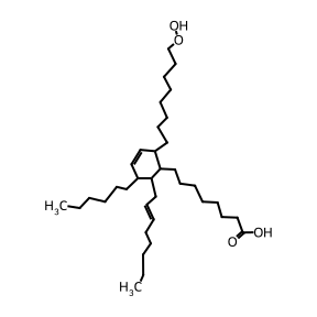 CCCCCC=CCC1C(CCCCCC)C=CC(CCCCCCCCOO)C1CCCCCCCC(=O)O